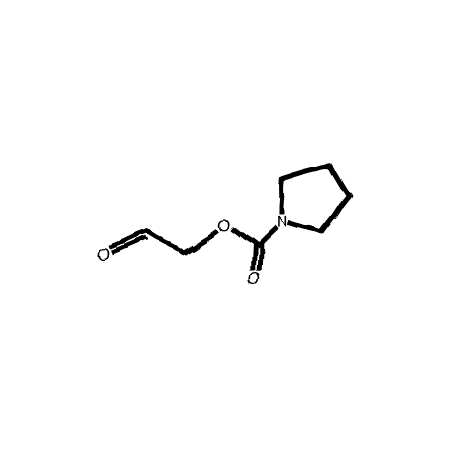 O=CCOC(=O)N1CCCC1